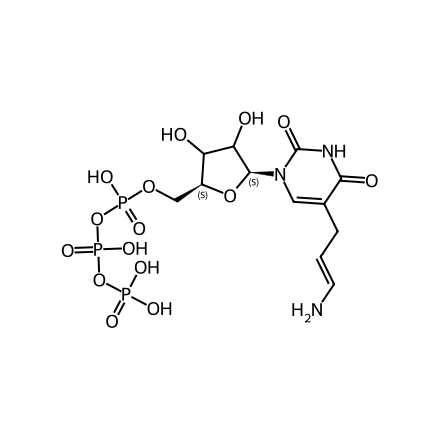 NC=CCc1cn([C@H]2O[C@@H](COP(=O)(O)OP(=O)(O)OP(=O)(O)O)C(O)C2O)c(=O)[nH]c1=O